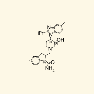 Cc1ccc2c(c1)nc(C(C)C)n2[C@@H]1CCN(CC2Cc3c[c]ccc3[C@@H]2C(N)=O)C[C@H]1O